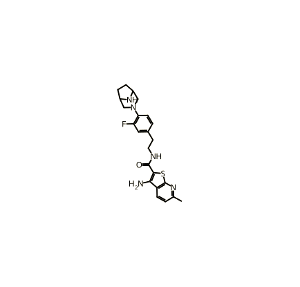 Cc1ccc2c(N)c(C(=O)NCCc3ccc(N4CC5CCC(C4)N5)c(F)c3)sc2n1